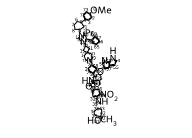 COc1ccc(C2CCCC(N3CCN(C4CC5(CCN(c6ccc(C(=O)NS(=O)(=O)c7ccc(NC[C@H]8CC[C@](C)(O)CC8)c([N+](=O)[O-])c7)c(Oc7cnc8[nH]ccc8c7)c6)CC5)C4)C(c4ccccc4C(C)C)C3)C2)cc1